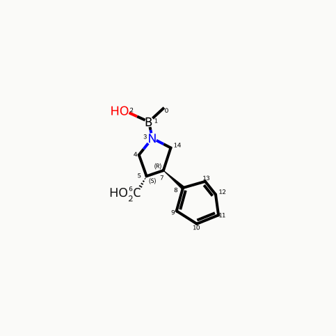 CB(O)N1C[C@@H](C(=O)O)[C@H](c2ccccc2)C1